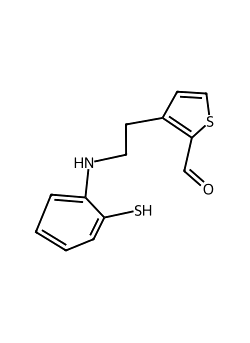 O=Cc1sccc1CCNc1ccccc1S